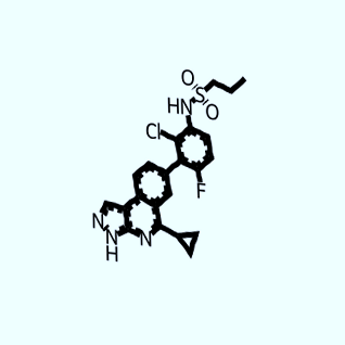 CCCS(=O)(=O)Nc1ccc(F)c(-c2ccc3c(c2)c(C2CC2)nc2[nH]ncc23)c1Cl